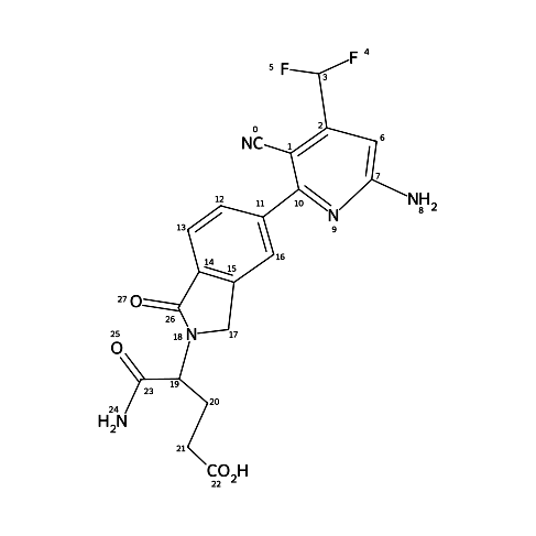 N#Cc1c(C(F)F)cc(N)nc1-c1ccc2c(c1)CN(C(CCC(=O)O)C(N)=O)C2=O